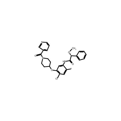 CO[C@H](C(=O)Nc1cc(OC2CCN(C(=O)c3cccnc3)CC2)c(Cl)cc1F)c1ccccc1